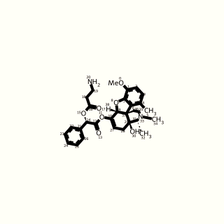 COc1ccc(C)c2c1O[C@H]1C(OC(=O)[C@@H](OC(=O)CCN)c3ccccc3)=CC[C@@]3(O)[C@@H](C)N(C)CC[C@]213